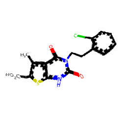 Cc1c(C(=O)O)sc2[nH]c(=O)n(CCc3ccccc3Cl)c(=O)c12